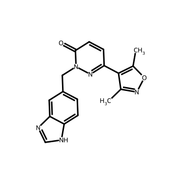 Cc1noc(C)c1-c1ccc(=O)n(Cc2ccc3[nH]cnc3c2)n1